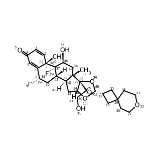 C[C@]12C=CC(=O)C=C1[C@@H](F)C[C@H]1[C@@H]3C[C@H]4O[C@@H](C5CC6(CCOCC6)C5)O[C@@]4(C(=O)CO)[C@@]3(C)C[C@H](O)[C@@]12F